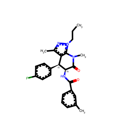 CCCn1nc(C)c2c1N(C)C(=O)[C@@H](NC(=O)c1cccc(C)c1)[C@H]2c1ccc(F)cc1